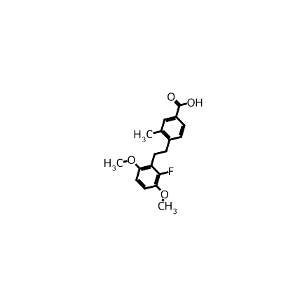 COc1ccc(OC)c(CCc2ccc(C(=O)O)cc2C)c1F